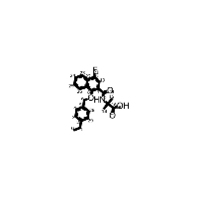 CCc1ccc(COc2c(C(=O)NC(C)(C)C(=O)O)cc(F)c3ccccc23)cc1